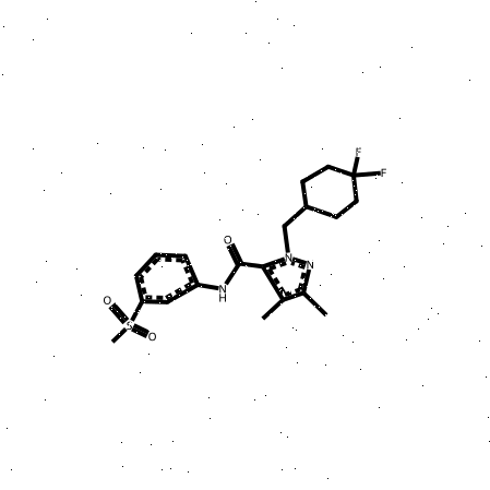 Cc1nn(CC2CCC(F)(F)CC2)c(C(=O)Nc2cccc(S(C)(=O)=O)c2)c1C